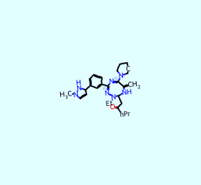 C=C1NC(CC(=O)CCC)N(CC)/N=C(c2cccc(C3C=CN(C)N3)c2)\N=C/1N1CCCCC1